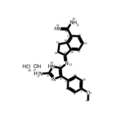 COc1ccc(-c2nc(N)[nH]c2N=C2CCc3c(C(=N)N)cccc32)cc1.Cl.Cl